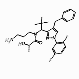 CC(O)C(=O)N(CCCN)C(c1nn(-c2cc(F)ccc2F)cc1Cc1ccccc1)C(C)(C)C